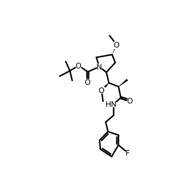 CO[C@@H]1CC([C@H](OC)[C@@H](C)C(=O)NCCc2cccc(F)c2)N(C(=O)OC(C)(C)C)C1